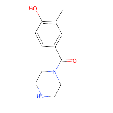 Cc1cc(C(=O)N2CCNCC2)ccc1O